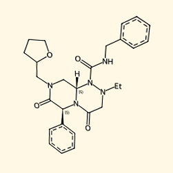 CCN1CC(=O)N2[C@@H](c3ccccc3)C(=O)N(CC3CCCO3)C[C@@H]2N1C(=O)NCc1ccccc1